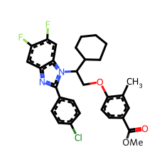 COC(=O)c1ccc(OCC(C2CCCCC2)n2c(-c3ccc(Cl)cc3)nc3cc(F)c(F)cc32)c(C)c1